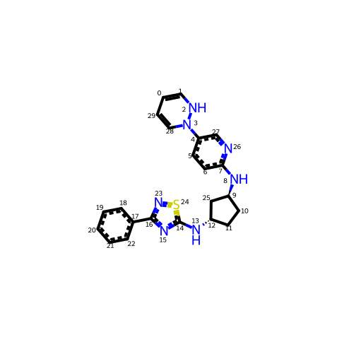 C1=CNN(c2ccc(N[C@H]3CC[C@H](Nc4nc(-c5ccccc5)ns4)C3)nc2)C=C1